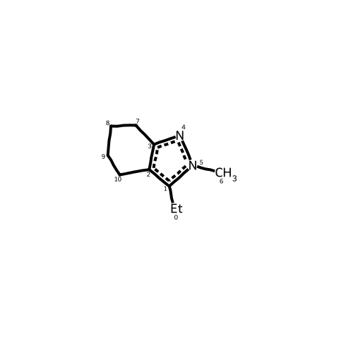 CCc1c2c(nn1C)CCCC2